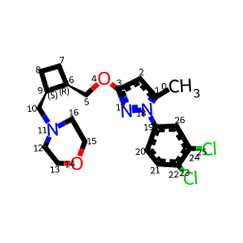 Cc1cc(OC[C@@H]2CC[C@@H]2CN2CCOCC2)nn1-c1ccc(Cl)c(Cl)c1